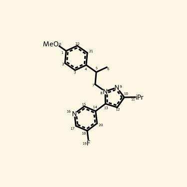 COc1ccc(C(C)Cn2nc(C(C)C)cc2-c2cncc(F)c2)cc1